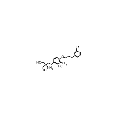 CCc1cccc(CCCOc2ccc(CCC(N)(CO)CO)cc2C(F)(F)F)c1.Cl